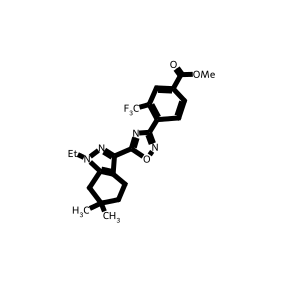 CCn1nc(-c2nc(-c3ccc(C(=O)OC)cc3C(F)(F)F)no2)c2c1CC(C)(C)CC2